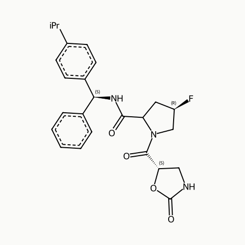 CC(C)c1ccc([C@@H](NC(=O)C2C[C@@H](F)CN2C(=O)[C@@H]2CNC(=O)O2)c2ccccc2)cc1